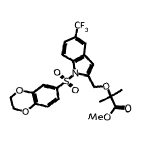 COC(=O)C(C)(C)OCc1cc2cc(C(F)(F)F)ccc2n1S(=O)(=O)c1ccc2c(c1)OCCO2